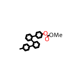 COC(=O)Oc1ccc(-c2ccccc2-c2ccccc2-c2ccc(C)cc2)cc1